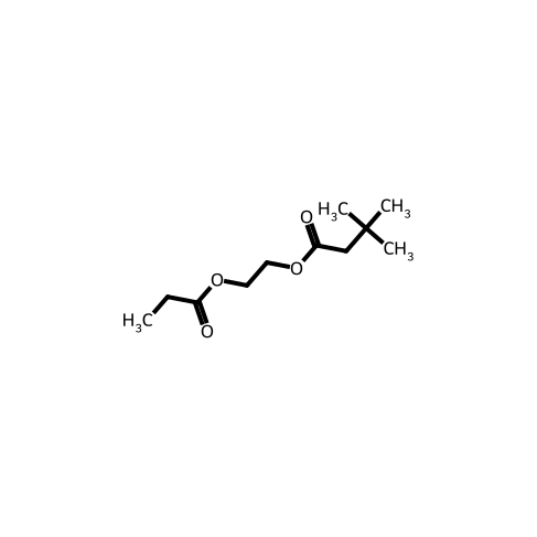 CCC(=O)OCCOC(=O)CC(C)(C)C